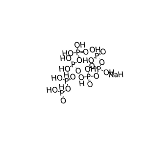 O=P(O)(O)OP(=O)(O)O.O=P(O)(O)OP(=O)(O)OP(=O)(O)O.O=[PH](O)O[PH](=O)O.[NaH]